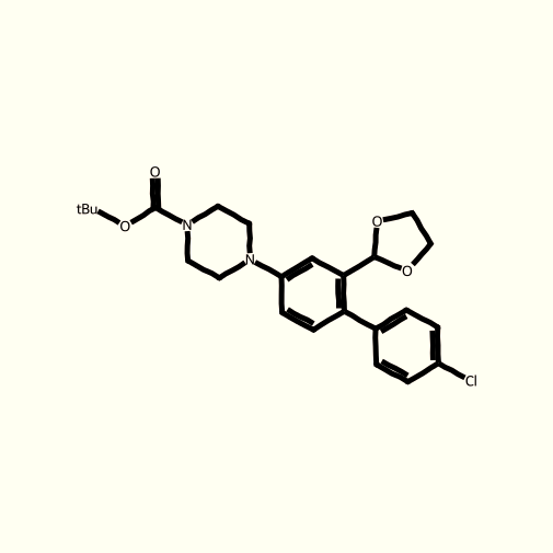 CC(C)(C)OC(=O)N1CCN(c2ccc(-c3ccc(Cl)cc3)c(C3OCCO3)c2)CC1